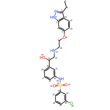 CCc1n[nH]c2cc(OCCNCC(O)c3cccc(NS(=O)(=O)c4cccc(Cl)c4)c3)ccc12